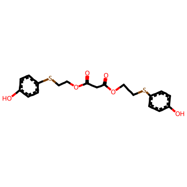 O=C(CC(=O)OCCSc1ccc(O)cc1)OCCSc1ccc(O)cc1